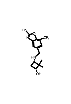 CC(C)c1nc2cc(CN[C@@H]3C[C@H](O)C3(C)C)cc(C(F)(F)F)c2o1